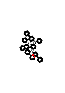 c1ccc(-c2ccc(N(c3ccccc3-c3ccccc3)c3ccc(N(c4ccccc4)c4ccc(-c5ccccc5)c(-c5ccccc5)c4)c4oc5cc6ccccc6cc5c34)cc2)cc1